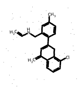 C=CNCc1cc(C)ccc1C1=CC(=C)c2cccc(Cl)c2C1